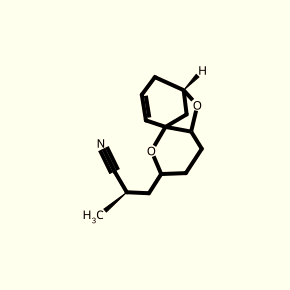 C[C@@H](C#N)CC1CCC2O[C@H]3CC=CC2(C3)O1